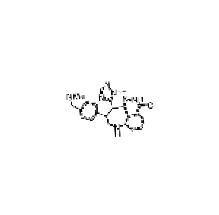 CNCc1ccc(C2CNc3cccc4c(=O)[nH]nc(c34)C2c2ncnn2C)cc1